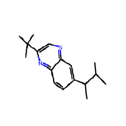 CC(C)C(C)c1ccc2nc(C(C)(C)C)cnc2c1